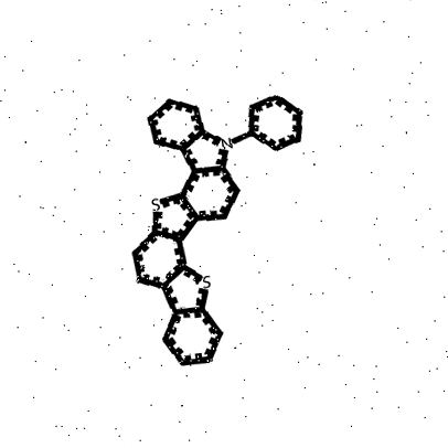 c1ccc(-n2c3ccccc3c3c4sc5ccc6c7ccccc7sc6c5c4ccc32)cc1